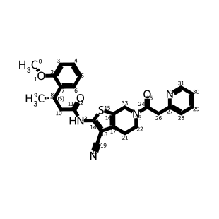 COc1ccccc1[C@@H](C)CC(=O)Nc1sc2c(c1C#N)CCN(C(=O)Cc1ccccn1)C2